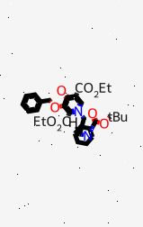 CCOC(=O)c1cn(C[C@H]2C3CCC(CC3)N2C(=O)OC(C)(C)C)c(C(=O)OCC)c(OCc2ccccc2)c1=O